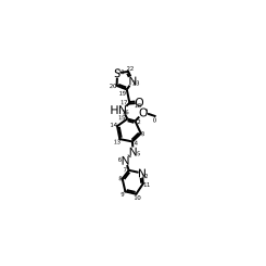 COc1cc(N=Nc2ccccn2)ccc1NC(=O)c1cscn1